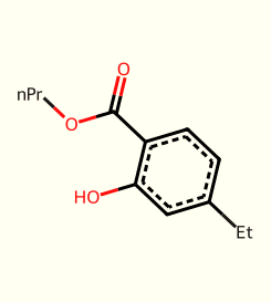 CCCOC(=O)c1ccc(CC)cc1O